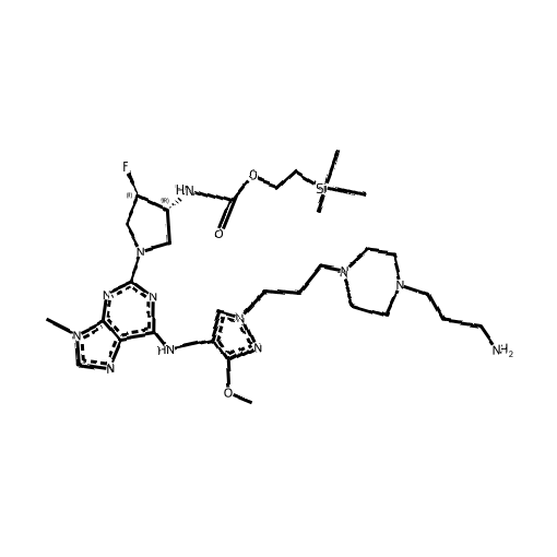 COc1nn(CCCN2CCN(CCCN)CC2)cc1Nc1nc(N2C[C@@H](F)[C@H](NC(=O)OCC[Si](C)(C)C)C2)nc2c1ncn2C